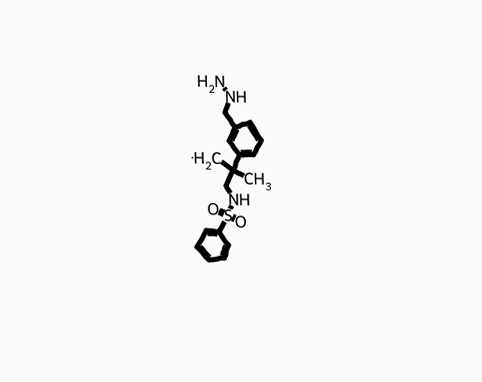 [CH2]C(C)(CNS(=O)(=O)c1ccccc1)c1cccc(CNN)c1